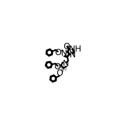 O=c1[nH]cnc2c(CN3C[C@H](COCc4ccccc4)[C@H](OCc4ccccc4)C3)cn(COCc3ccccc3)c12